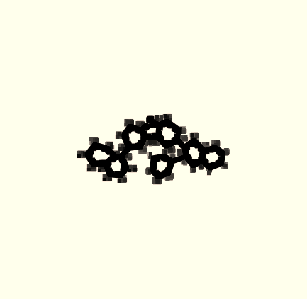 c1ccc(-c2cc3ccccc3cc2-c2ccc3sc4ccc(-c5cccc6ccccc56)cc4c3c2)cc1